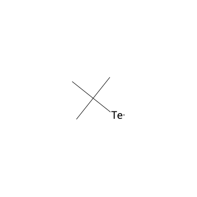 CC(C)(C)[Te]